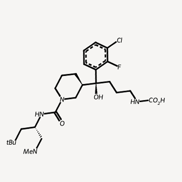 CNC[C@H](CC(C)(C)C)NC(=O)N1CCC[C@@H]([C@@](O)(CCCNC(=O)O)c2cccc(Cl)c2F)C1